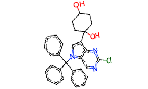 OC1CCC(O)(c2cn(C(c3ccccc3)(c3ccccc3)c3ccccc3)c3cnc(Cl)nc23)CC1